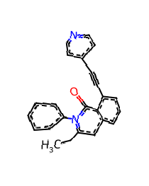 CCc1cc2cccc(C#Cc3ccncc3)c2c(=O)n1-c1ccccc1